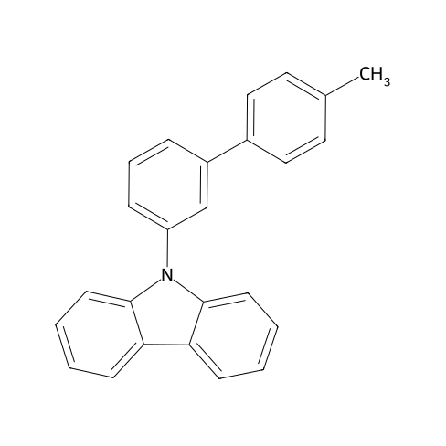 Cc1ccc(-c2cccc(-n3c4ccccc4c4ccccc43)c2)cc1